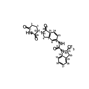 O=C1CC[C@H](N2Cc3cc(NC(=O)N4c5ccccc5C[C@@H]4C(F)(F)F)ccc3C2=O)C(=O)N1